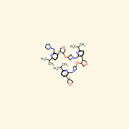 CC(C)c1ccc(C2COCC2OC2CN(Cc3nc(C(C)C)ccc3[C@H]3CCOC3)C2)c(CN2CC(OC3COC[C@@H]3c3ccc(C(C)C)nc3CN3CCCC3)C2)n1